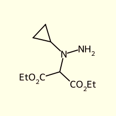 CCOC(=O)C(C(=O)OCC)N(N)C1CC1